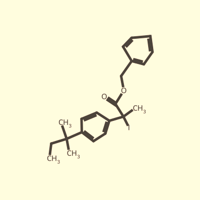 CCC(C)(C)c1ccc(C(C)(I)C(=O)OCc2ccccc2)cc1